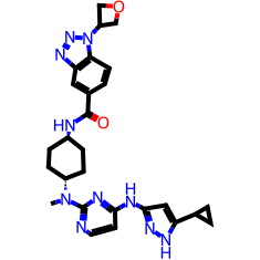 CN(c1nccc(Nc2cc(C3CC3)[nH]n2)n1)[C@H]1CC[C@H](NC(=O)c2ccc3c(c2)nnn3C2COC2)CC1